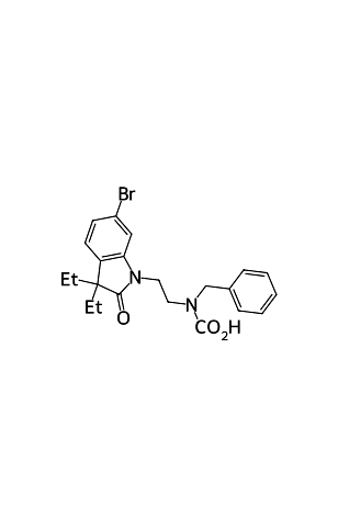 CCC1(CC)C(=O)N(CCN(Cc2ccccc2)C(=O)O)c2cc(Br)ccc21